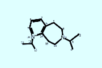 CC(C)N1CCc2ccc[n+](C(C)C)c2CC1